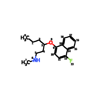 CCCC(CCNC)Oc1ccc(F)c2ccccc12